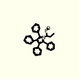 CCC(P=O)n1c(-c2ccccc2)c(-c2ccccc2)c(-c2ccccc2)c1-c1ccccc1